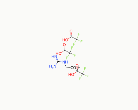 N=C(N)NCC(=O)O.O=C(O)C(F)(F)F.O=C(O)C(F)(F)F.O=C(O)C(F)(F)F